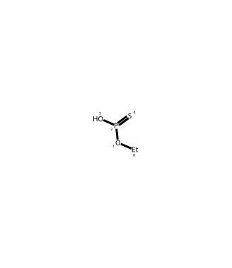 CCO[P](O)=S